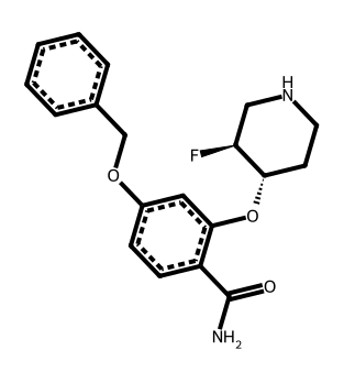 NC(=O)c1ccc(OCc2ccccc2)cc1O[C@H]1CCNC[C@@H]1F